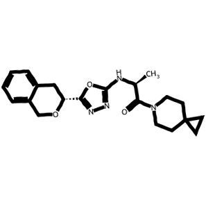 C[C@H](Nc1nnc([C@H]2Cc3ccccc3CO2)o1)C(=O)N1CCC2(CC1)CC2